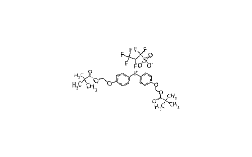 CC(C)(C)C(=O)OCOc1ccc([I+]c2ccc(OCOC(=O)C(C)(C)C)cc2)cc1.O=S(=O)([O-])C(F)(F)C(F)C(F)(F)F